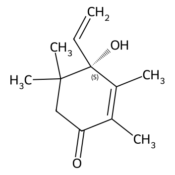 C=C[C@@]1(O)C(C)=C(C)C(=O)CC1(C)C